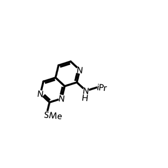 CSc1ncc2ccnc(NC(C)C)c2n1